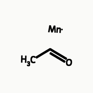 CC=O.[Mn]